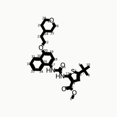 COC(=O)c1cc(C(C)(C)C)sc1NC(=O)Nc1ccc(OCCC2CCOCC2)c2ccccc12